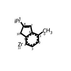 Cc1cccc2c1C=C(C(C)C)[CH]2.[Zr]